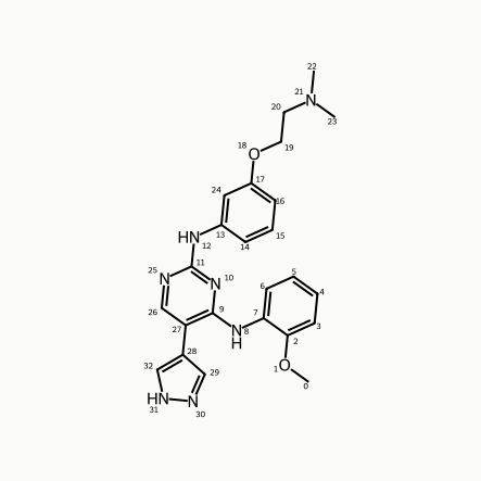 COc1ccccc1Nc1nc(Nc2cccc(OCCN(C)C)c2)ncc1-c1cn[nH]c1